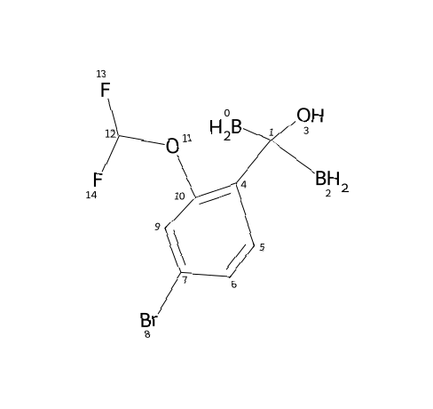 BC(B)(O)c1ccc(Br)cc1OC(F)F